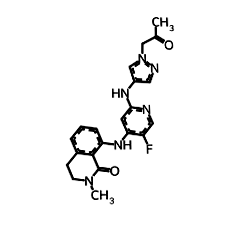 CC(=O)Cn1cc(Nc2cc(Nc3cccc4c3C(=O)N(C)CC4)c(F)cn2)cn1